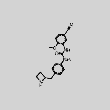 COc1ccc(C#N)cc1NC(=O)Nc1ccc(C[C@@H]2CCN2)cc1